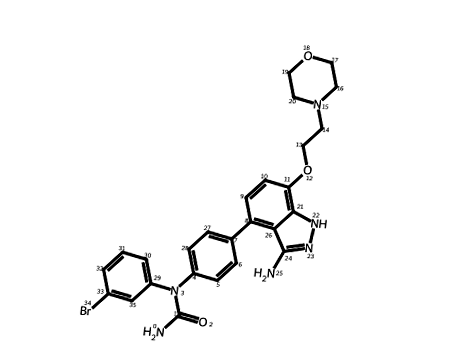 NC(=O)N(c1ccc(-c2ccc(OCCN3CCOCC3)c3[nH]nc(N)c23)cc1)c1cccc(Br)c1